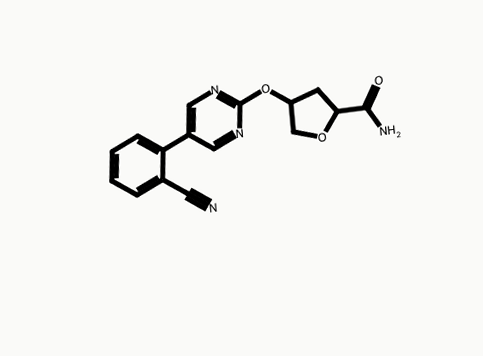 N#Cc1ccccc1-c1cnc(OC2[CH]C(C(N)=O)OC2)nc1